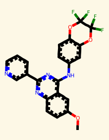 COc1ccc2nc(-c3cccnc3)nc(Nc3ccc4c(c3)OC(F)(F)C(F)(F)O4)c2c1